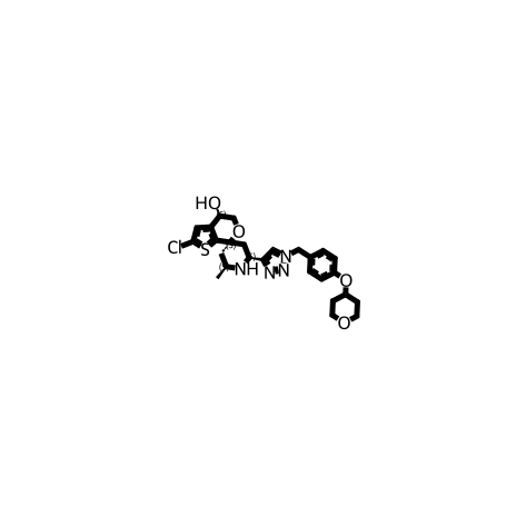 C[C@H]1C[C@@]2(C[C@@H](c3cn(Cc4ccc(OC5CCOCC5)cc4)nn3)N1)OC[C@@H](O)c1cc(Cl)sc12